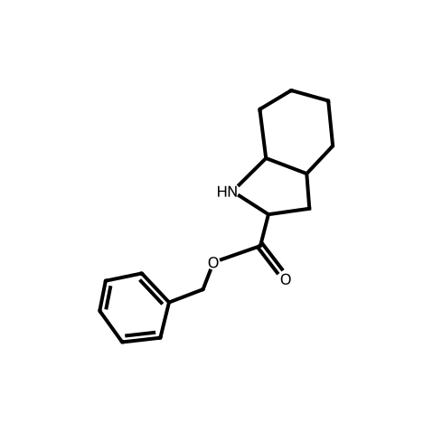 O=C(OCc1ccccc1)C1CC2CCCCC2N1